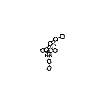 c1ccc(-c2ccc(-c3nc(-c4ccccc4)nc(-c4ccccc4-n4c5ccccc5c5ccc6c7ccc(-c8ccccc8)cc7sc6c54)n3)cc2)cc1